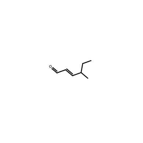 CCC(C)/C=C/[C]=O